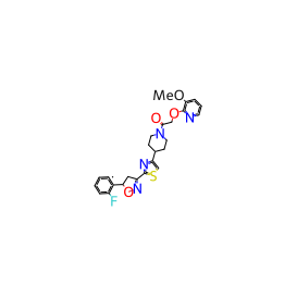 COc1cccnc1OCC(=O)N1CCC(c2csc(C3=NOC(c4[c]cccc4F)C3)n2)CC1